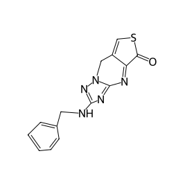 O=C1SC=C2Cn3nc(NCc4ccccc4)nc3N=C12